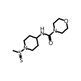 CS(=S)N1CCC(NC(=O)N2CCOCC2)CC1